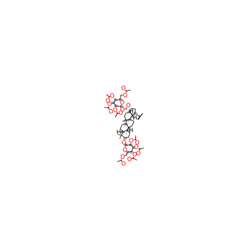 C=C(C)[C@@H]1CC[C@]2(C(=O)O[C@@H]3O[C@H](COC(C)=O)[C@@H](OC(C)=O)[C@H](OC(C)=O)[C@H]3OC(C)=O)CC[C@]3(C)[C@H](CC[C@@H]4[C@@]5(C)CC[C@H](O[C@@H]6O[C@H](COC(C)=O)[C@@H](OC(C)=O)[C@H](OC(C)=O)[C@H]6OC(C)=O)C(C)(C)[C@@H]5CC[C@]43C)[C@@H]12